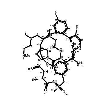 CNCCN(C)CCN(C)CC(=O)N[C@@H](CC(N)=O)C(=O)N1CCC[C@H]1C(=O)N[C@H](C(=O)N=[S@@](C)(=O)Cc1cc2cc(c1)OCCCCOc1cc(F)ccc1-c1nc(ncc1F)N2)C(C)C